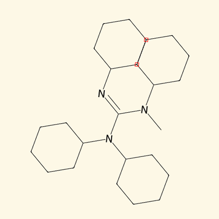 CN(C(=NC1CCCCC1)N(C1CCCCC1)C1CCCCC1)C1CCCCC1